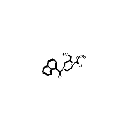 CC(C)(C)OC(=O)N1CCN(C(=O)c2cccc3ccccc23)CC1CO